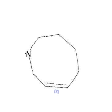 C1=C\C[N]CCCC/1